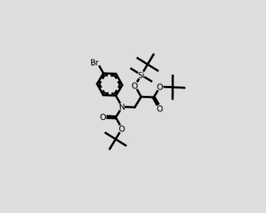 CC(C)(C)OC(=O)C(CN(C(=O)OC(C)(C)C)c1ccc(Br)cc1)O[Si](C)(C)C(C)(C)C